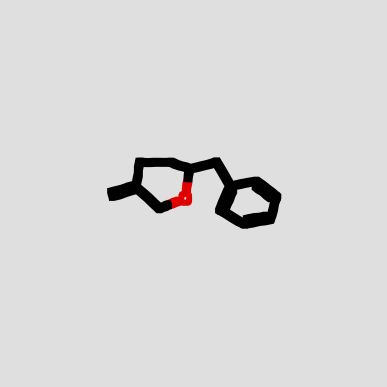 C=C1CCC(Cc2ccccc2)OC1